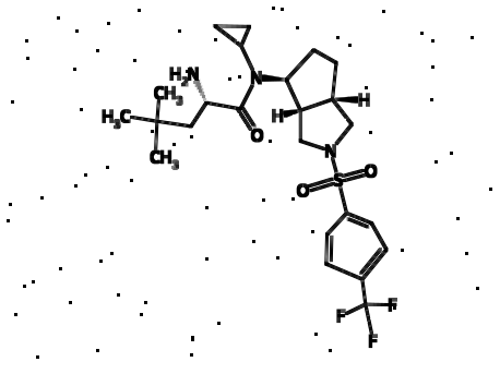 CC(C)(C)C[C@H](N)C(=O)N(C1CC1)[C@H]1CC[C@@H]2CN(S(=O)(=O)c3ccc(C(F)(F)F)cc3)C[C@@H]21